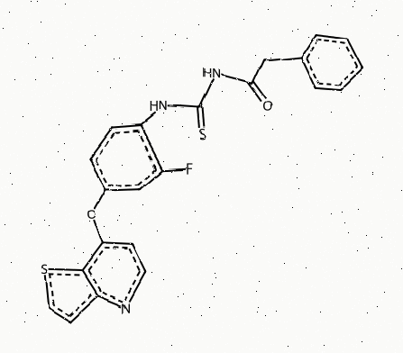 O=C(Cc1ccccc1)NC(=S)Nc1ccc(Oc2ccnc3ccsc23)cc1F